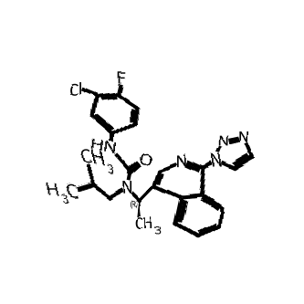 CC(C)CN(C(=O)Nc1ccc(F)c(Cl)c1)[C@H](C)c1cnc(-n2ccnn2)c2ccccc12